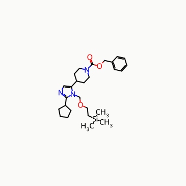 C[Si](C)(C)CCOCn1c(C2CCN(C(=O)OCc3ccccc3)CC2)cnc1C1CCCC1